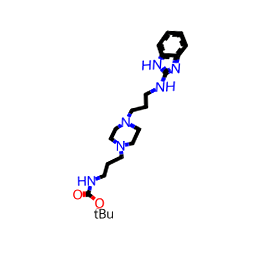 CC(C)(C)OC(=O)NCCCN1CCN(CCCNc2nc3ccccc3[nH]2)CC1